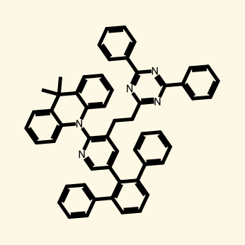 CC1(C)c2ccccc2N(c2ncc(-c3c(-c4ccccc4)cccc3-c3ccccc3)cc2CCc2nc(-c3ccccc3)nc(-c3ccccc3)n2)c2ccccc21